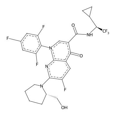 O=C(N[C@@H](C1CC1)C(F)(F)F)c1cn(-c2c(F)cc(F)cc2F)c2nc(N3CCCC[C@H]3CO)c(F)cc2c1=O